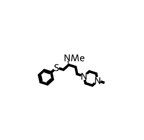 CN[C@H](CCN1CCN(C)CC1)CSc1ccccc1